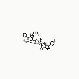 C[C@H](c1ccccc1)c1nn(C)cc1C(=O)N1CCC(O)(Cn2cnn3c(-c4ccc(F)cc4)cnc3c2=O)CC1